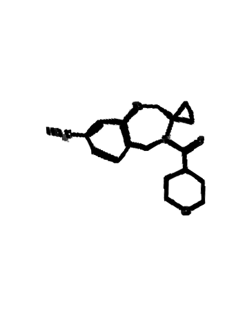 O=C(O)c1ccc2c(c1)OCC1(CC1)N(C(=O)C1CCOCC1)C2